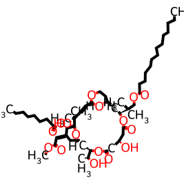 CCCCCCCCCCCCCC(=O)OCC(C)(C)[C@@H]1C[C@@H]2CCO[C@H](/C=C/C(C)(C)[C@]3(O)O[C@@H](C/C(=C\C(=O)OC)[C@@H]3OC(=O)CCCCCCC)C[C@H]([C@@H](C)O)OC(=O)C[C@H](O)CC(=O)O1)O2